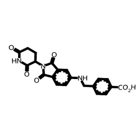 O=C1CCC(N2C(=O)c3ccc(NCc4ccc(C(=O)O)cc4)cc3C2=O)C(=O)N1